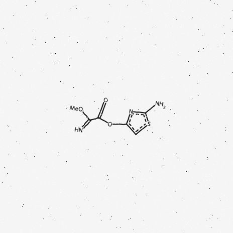 COC(=N)C(=O)Oc1csc(N)n1